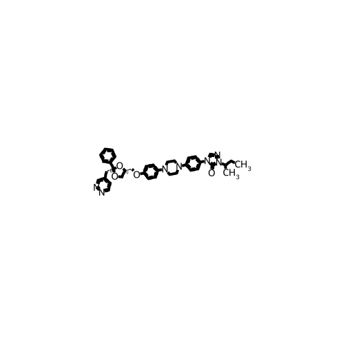 CCC(C)n1ncn(-c2ccc(N3CCN(c4ccc(OC[C@@H]5CO[C@@](Cc6ccnnc6)(c6ccccc6)O5)cc4)CC3)cc2)c1=O